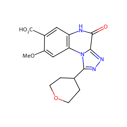 COc1cc2c(cc1C(=O)O)[nH]c(=O)c1nnc(C3CCOCC3)n12